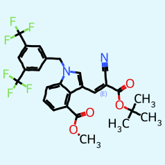 COC(=O)c1cccc2c1c(/C=C(\C#N)C(=O)OC(C)(C)C)cn2Cc1cc(C(F)(F)F)cc(C(F)(F)F)c1